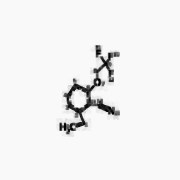 C=Cc1cccc(OCC(F)(F)F)c1C#N